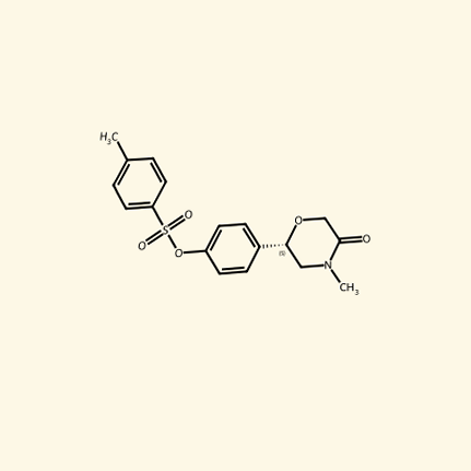 Cc1ccc(S(=O)(=O)Oc2ccc([C@H]3CN(C)C(=O)CO3)cc2)cc1